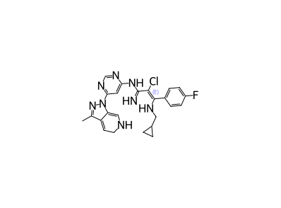 Cc1nn(-c2cc(NC(=N)/C(Cl)=C(\NCC3CC3)c3ccc(F)cc3)ncn2)c2c1=CCNC=2